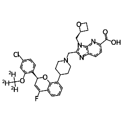 [2H]C([2H])([2H])Oc1cc(Cl)ccc1[C@@H]1C=C(F)c2cccc(C3CCN(Cc4nc5ccc(C(=O)O)nc5n4C[C@@H]4CCO4)CC3)c2O1